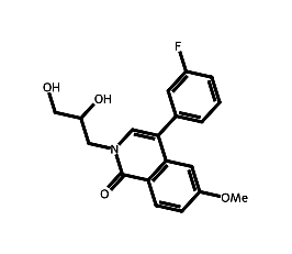 COc1ccc2c(=O)n(CC(O)CO)cc(-c3cccc(F)c3)c2c1